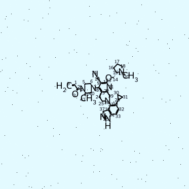 C=CC(=O)N1CCN(c2c(C#N)c(OC[C@@H]3CCCN3C)nc3c2CCN(c2c(C4CC4)ccc4[nH]ncc24)C3)C[C@@H]1C